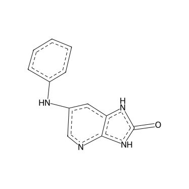 O=c1[nH]c2cc(Nc3ccccc3)cnc2[nH]1